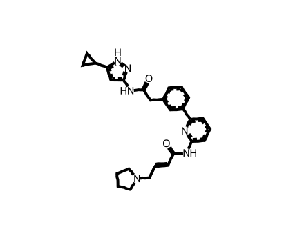 O=C(/C=C/CN1CCCC1)Nc1cccc(-c2cccc(CC(=O)Nc3cc(C4CC4)[nH]n3)c2)n1